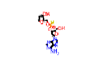 Nc1ncnc2c1ncn2[C@H]1C[C@@H](OP(=O)(S)OC[C@H]2OCC[C@H]2O)[C@@H](CO)O1